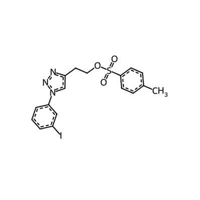 Cc1ccc(S(=O)(=O)OCCc2cn(-c3cccc(I)c3)nn2)cc1